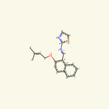 CC(C)=CCOc1ccc2ccccc2c1/C=N/c1nccs1